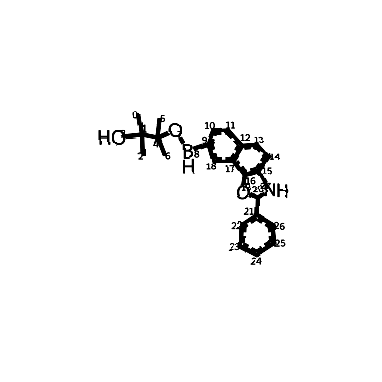 CC(C)(O)C(C)(C)OBc1ccc2ccc3c(c2c1)OC(c1ccccc1)N3